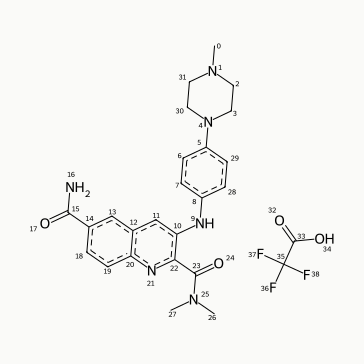 CN1CCN(c2ccc(Nc3cc4cc(C(N)=O)ccc4nc3C(=O)N(C)C)cc2)CC1.O=C(O)C(F)(F)F